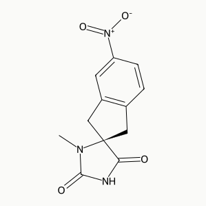 CN1C(=O)NC(=O)[C@]12Cc1ccc([N+](=O)[O-])cc1C2